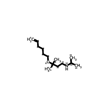 C=CCCCCOC(C)(C)CCNC(C)C